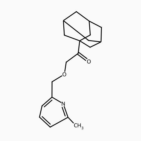 Cc1cccc(COCC(=O)C23CC4CC(CC(C4)C2)C3)n1